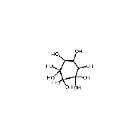 OC1C(O)C(O)(O)C(O)(O)C(O)(O)C1O